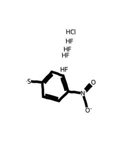 Cl.F.F.F.F.O=[N+]([O-])c1ccc([S])cc1